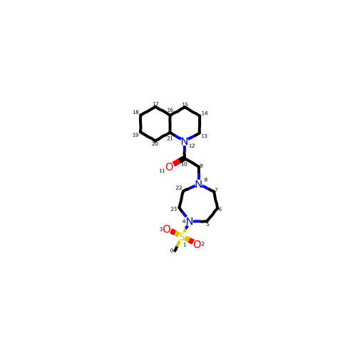 CS(=O)(=O)N1CCCN(CC(=O)N2CCCC3CCCCC32)CC1